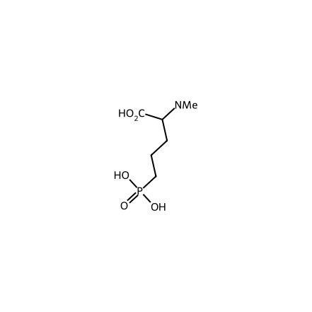 CNC(CCCP(=O)(O)O)C(=O)O